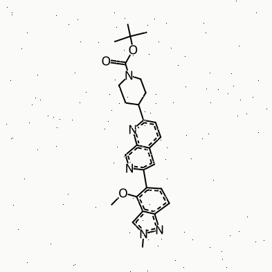 COc1c(-c2cc3ccc(C4CCN(C(=O)OC(C)(C)C)CC4)nc3cn2)ccc2nn(C)cc12